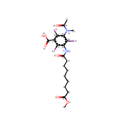 COC(=O)CCCCCCCC(=O)Nc1c(I)c(C(=O)O)c(I)c(N(C)C(C)=O)c1I